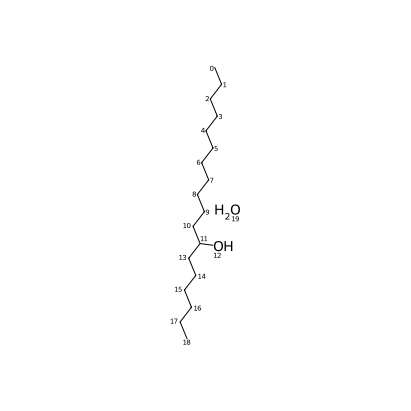 CCCCCCCCCCCC(O)CCCCCC.O